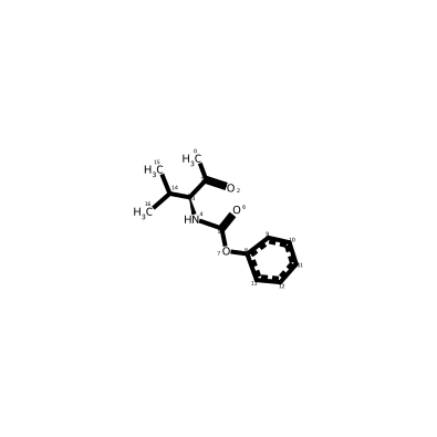 CC(=O)[C@@H](NC(=O)Oc1ccccc1)C(C)C